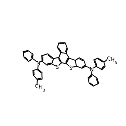 Cc1ccc(N(C2=CC3Sc4c(c5ccccc5c5c4sc4cc(N(c6ccccc6)c6ccc(C)cc6)ccc45)C3C=C2)c2ccccc2)cc1